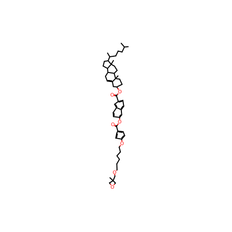 CC(C)CCCC(C)C1CCC2C3CC=C4CC(OC(=O)c5ccc6cc(OC(=O)c7ccc(OCCCCCCOCC8(C)COC8)cc7)ccc6c5)CCC4(C)C3CCC12C